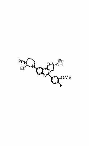 CCC1CN(c2ccc3nc(-c4ccc(F)c(OC)c4)n(CC(=O)NC(C)C)c(=O)c3c2)CCCN1C(C)C